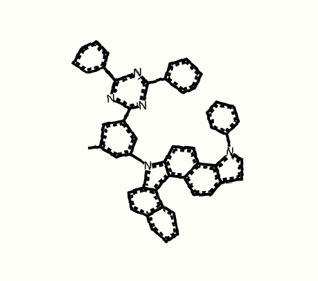 Cc1cc(-c2nc(-c3ccccc3)nc(-c3ccccc3)n2)cc(-n2c3ccc4ccccc4c3c3c4ccc5ccn(-c6ccccc6)c5c4ccc32)c1